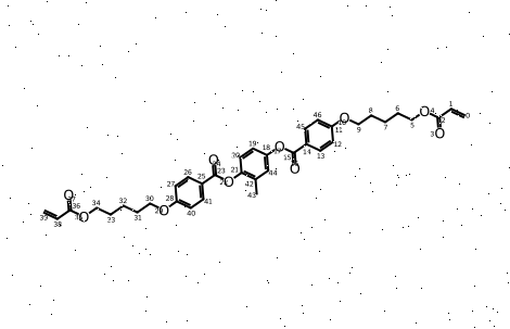 C=CC(=O)OCCCCCOc1ccc(C(=O)Oc2ccc(OC(=O)c3ccc(OCCCCCOC(=O)C=C)cc3)c(C)c2)cc1